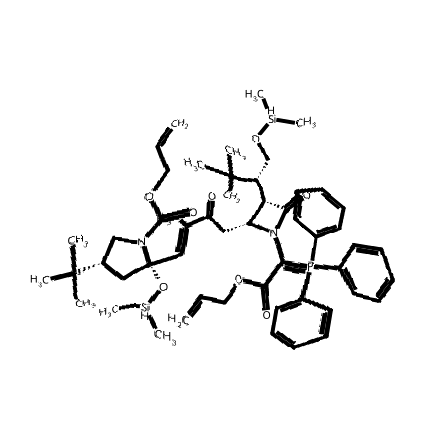 C=CCOC(=O)C(N1C(=O)[C@@H]([C@@H](CO[SiH](C)C)C(C)(C)C)[C@H]1CC(=O)C(C)=C[C@@]1(O[SiH](C)C)C[C@H](C(C)(C)C)CN1C(=O)OCC=C)=P(c1ccccc1)(c1ccccc1)c1ccccc1